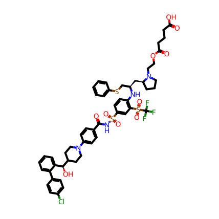 O=C(O)CCCC(=O)OCCN1CCC[C@H]1C[C@H](CSc1ccccc1)Nc1ccc(S(=O)(=O)NC(=O)c2ccc(N3CCC([C@@H](O)c4ccccc4-c4ccc(Cl)cc4)CC3)cc2)cc1S(=O)(=O)C(F)(F)F